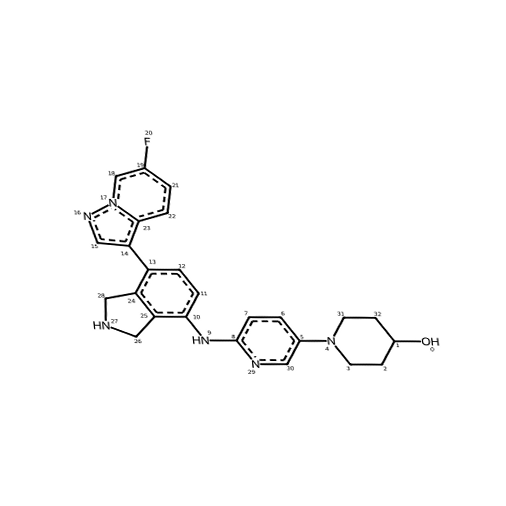 OC1CCN(c2ccc(Nc3ccc(-c4cnn5cc(F)ccc45)c4c3CNC4)nc2)CC1